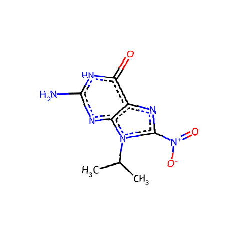 CC(C)n1c([N+](=O)[O-])nc2c(=O)[nH]c(N)nc21